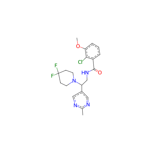 COc1cccc(C(=O)NCC(c2cnc(C)nc2)N2CCC(F)(F)CC2)c1Cl